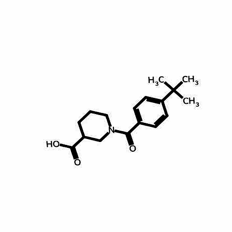 CC(C)(C)c1ccc(C(=O)N2CCCC(C(=O)O)C2)cc1